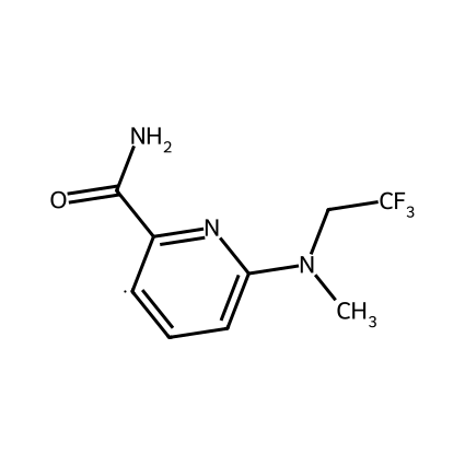 CN(CC(F)(F)F)c1cc[c]c(C(N)=O)n1